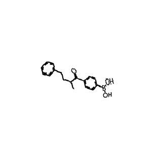 CC(CCc1ccccc1)C(=O)c1ccc(B(O)O)cc1